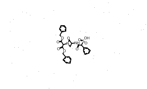 O=C(OCc1ccccc1)C(C(=O)OCc1ccccc1)N1CC(NC(=O)C(c2ccccc2)S(=O)(=O)O)C1=O